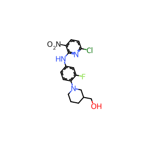 O=[N+]([O-])c1ccc(Cl)nc1Nc1ccc(N2CCCC(CO)C2)c(F)c1